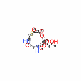 C[C@@H](O)CC(=O)O[C@H]1C(=O)NCCC(=O)NCCSC(=O)CC(=O)OCC1(C)C